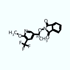 COc1ncc([C@@H](C)ON2C(=O)c3ccccc3C2=O)cc1C(F)(F)F